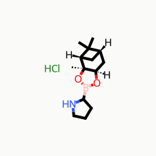 CC1(C)[C@@H]2C[C@H]3OB(C4CCCN4)O[C@@]3(C)[C@H]1C2.Cl